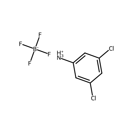 F[B-](F)(F)F.[NH3+]c1cc(Cl)cc(Cl)c1